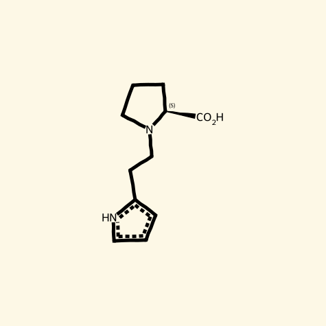 O=C(O)[C@@H]1CCCN1CCc1ccc[nH]1